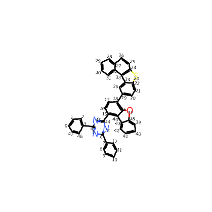 c1ccc(-c2nc(-c3ccccc3)nc(-c3ccc(-c4ccc5sc6ccc7ccccc7c6c5c4)c4oc5ccccc5c34)n2)cc1